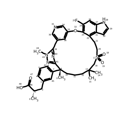 C[C@@H](Cc1cccc([C@@]2(C)CCCC(C)(C)CS(=O)(=O)CCc3c(c(F)cc4[nH]ccc34)Oc3cncc(c3)-c3nc2nn3C)c1)C(=O)O